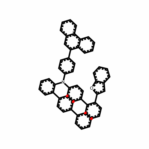 c1ccc(-c2ccc(-c3ccccc3N(c3ccc(-c4ccccc4-c4cc5ccccc5o4)cc3)c3ccc(-c4cc5ccccc5c5ccccc45)cc3)cc2)cc1